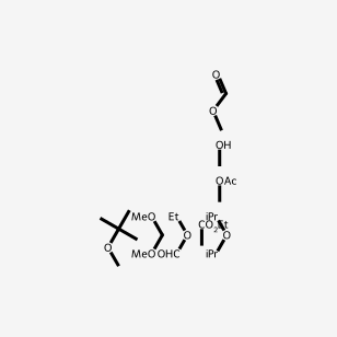 CC(C)OC(C)C.CCOC(C)=O.CCOC=O.CO.COC(C)(C)C.COC(C)=O.COC=O.COCOC